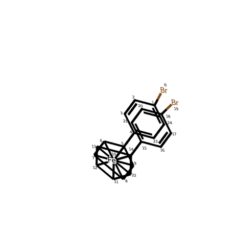 Brc1ccc([C]23[CH]4[CH]5[CH]6[CH]2[Fe]56432789[CH]3[CH]2[CH]7[C]8(c2ccc(Br)cc2)[CH]39)cc1